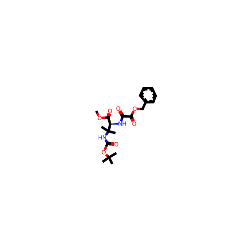 COC(=O)[C@@H](NC(=O)C(=O)OCc1ccccc1)C(C)(C)NC(=O)OC(C)(C)C